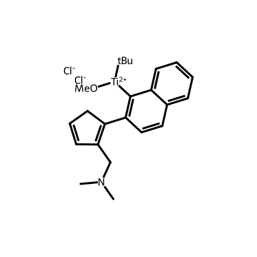 C[O][Ti+2]([c]1c(C2=C(CN(C)C)C=CC2)ccc2ccccc12)[C](C)(C)C.[Cl-].[Cl-]